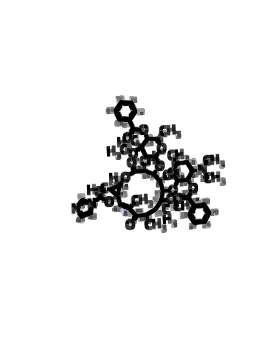 CO[C@]1(C)CC(O[C@H]2[C@H](C)[C@@H](OC3O[C@H](C)C[C@H](N(C)C)[C@H]3OC(=O)c3ccccc3)[C@@](C)(OC)C[C@@H](C)C(=O)/C(C)=C/[C@@]3(OC(=O)n4ccnc4)C(C)[C@H]3OC(=O)[C@@H]2C)O[C@@H](C)[C@@H]1OC(=O)c1ccccc1